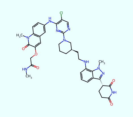 CNC(=O)COc1cc2cc(Nc3nc(N4CCC[C@H](CCNc5cccc6c([C@H]7CCC(=O)NC7=O)nn(C)c56)C4)ncc3Cl)ccc2n(C)c1=O